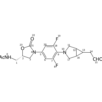 CC(=O)NC[C@H]1CN(c2cc(F)c(N3CC4C(CC=O)C4C3)c(F)c2)C(=O)O1